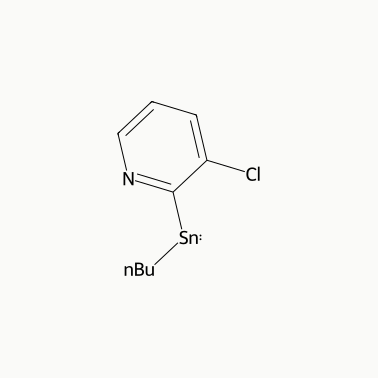 CCC[CH2][Sn][c]1ncccc1Cl